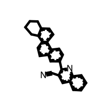 N#Cc1cc2ccccc2nc1-c1ccc2c(ccc3c4c(ccc32)CCCC4)c1